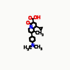 Cc1c(-c2ccc(N(C)C)cc2)ccn2c(=O)c(C(=O)O)cc(C3CC3)c12